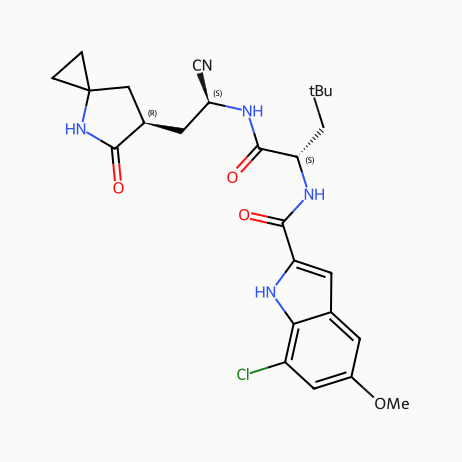 COc1cc(Cl)c2[nH]c(C(=O)N[C@@H](CC(C)(C)C)C(=O)N[C@H](C#N)C[C@@H]3CC4(CC4)NC3=O)cc2c1